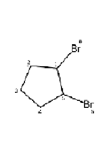 BrC1[CH]CCC1Br